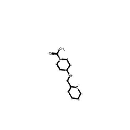 CC(=O)N1CCC(NCC2CCCCO2)CC1